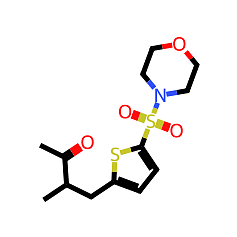 CC(=O)C(C)Cc1ccc(S(=O)(=O)N2CCOCC2)s1